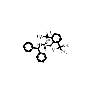 CC(C)(C)c1cccc(C(C)(C)C)c1[CH]S(=O)(=O)NC(c1ccccc1)c1ccccc1